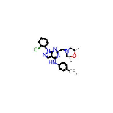 C[C@@H]1CN(Cc2nc(Nc3ccc(C(F)(F)F)cc3)c3cnn(-c4ccccc4Cl)c3n2)C[C@H](C)O1